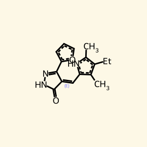 CCc1c(C)[nH]c(/C=C2/C(=O)NN=C2c2ccco2)c1C